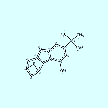 CCCCC(C)(C)c1cc(O)c2c(c1)oc1cc3cc(c12)C3